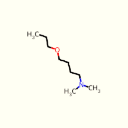 CCCOCCCCN(C)C